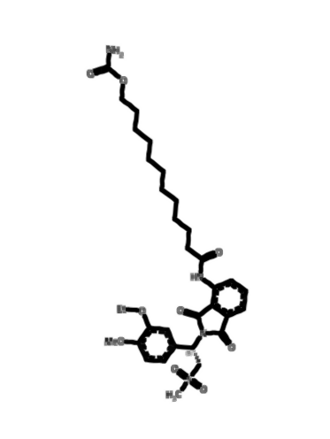 CCOc1cc([C@@H](CS(C)(=O)=O)N2C(=O)c3cccc(NC(=O)CCCCCCCCCCCOC(N)=O)c3C2=O)ccc1OC